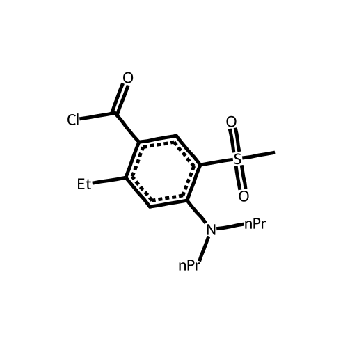 CCCN(CCC)c1cc(CC)c(C(=O)Cl)cc1S(C)(=O)=O